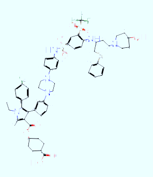 CCn1c(C)c(C(=O)OC2CCC(C(=O)O)CC2)c(-c2cccc(N3CCN(c4ccc(NS(=O)(=O)c5ccc(NC(CCN6CCC(O)CC6)CSc6ccccc6)c(S(=O)(=O)C(F)(F)F)c5)cc4)CC3)c2)c1-c1ccc(Cl)cc1